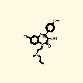 CCCN(C)CCN1C(=O)[C@H](O)[C@H](c2ccc(OC)cc2)Sc2cc(Cl)ccc21